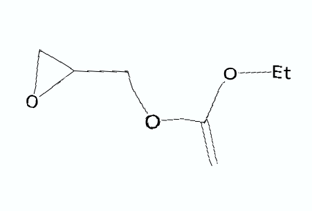 C=C(OCC)OCC1CO1